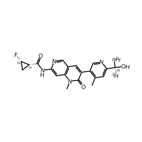 [2H][C@@](O)(CCC)c1cc(C)c(-c2cc3cnc(NC(=O)[C@@H]4C[C@@H]4F)cc3n(C)c2=O)cn1